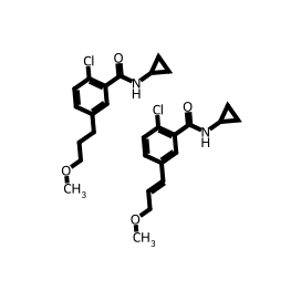 COCC=Cc1ccc(Cl)c(C(=O)NC2CC2)c1.COCCCc1ccc(Cl)c(C(=O)NC2CC2)c1